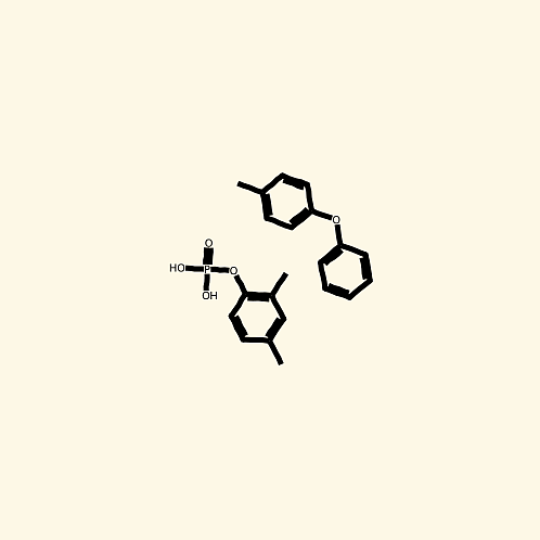 Cc1ccc(OP(=O)(O)O)c(C)c1.Cc1ccc(Oc2ccccc2)cc1